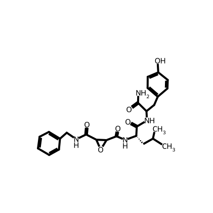 CC(C)C[C@H](NC(=O)C1OC1C(=O)NCc1ccccc1)C(=O)NC(Cc1ccc(O)cc1)C(N)=O